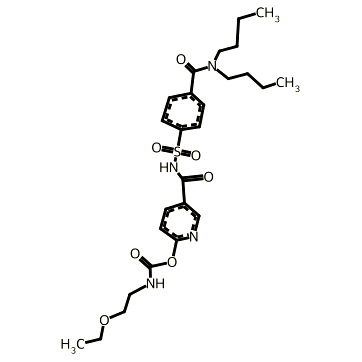 CCCCN(CCCC)C(=O)c1ccc(S(=O)(=O)NC(=O)c2ccc(OC(=O)NCCOCC)nc2)cc1